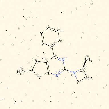 CC1Cc2nc(N3CC[C@@H]3C)nc(-c3ccccc3)c2C1